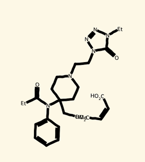 CCC(=O)N(c1ccccc1)C1(COC)CCN(CCn2nnn(CC)c2=O)CC1.O=C(O)/C=C\C(=O)O